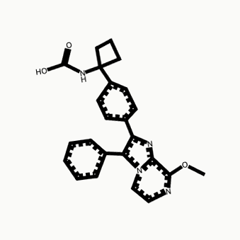 COc1nccn2c(-c3ccccc3)c(-c3ccc(C4(NC(=O)O)CCC4)cc3)nc12